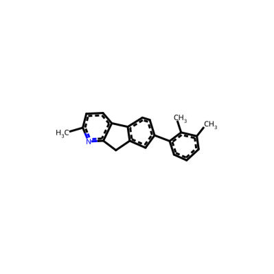 Cc1ccc2c(n1)Cc1cc(-c3cccc(C)c3C)ccc1-2